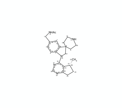 CC(=O)NCc1ccc2c(c1)C1(CCNCC1)CN2c1ncnc2c1[C@H](C)CC2